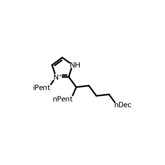 CCCCCCCCCCCCCC(CCCCC)c1[nH]cc[n+]1C(C)CCC